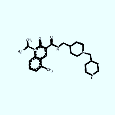 Cc1cccc2c1cc(C(=O)NCC1CCN(CC3CCNCC3)CC1)c(=O)n2C(C)C